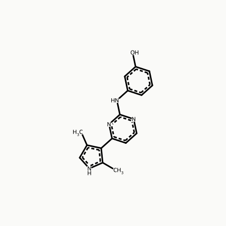 Cc1c[nH]c(C)c1-c1ccnc(Nc2cccc(O)c2)n1